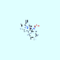 O/N=C1/CC2CC[C@H](C1)N2Cc1ccccc1